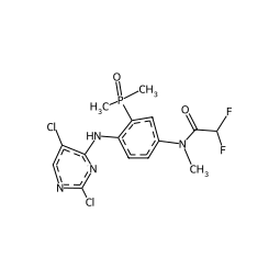 CN(C(=O)C(F)F)c1ccc(Nc2nc(Cl)ncc2Cl)c(P(C)(C)=O)c1